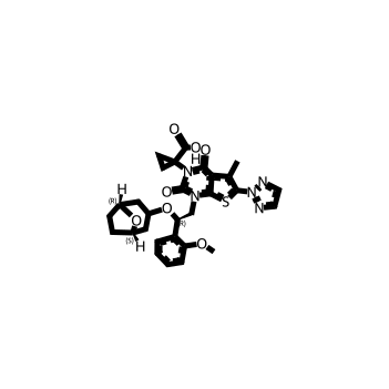 COc1ccccc1[C@H](Cn1c(=O)n(C2(C(=O)O)CC2)c(=O)c2c(C)c(-n3nccn3)sc21)OC1C[C@H]2CC[C@@H](C1)O2